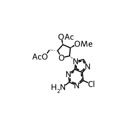 CO[C@@H]1[C@H](OC(C)=O)[C@@H](COC(C)=O)O[C@H]1n1cnc2c(Cl)nc(N)nc21